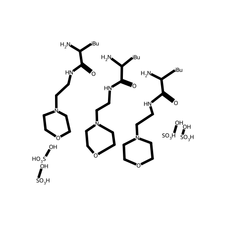 CCC(C)C(N)C(=O)NCCN1CCOCC1.CCC(C)C(N)C(=O)NCCN1CCOCC1.CCC(C)C(N)C(=O)NCCN1CCOCC1.O=S(=O)(O)O.O=S(=O)(O)O.O=S(=O)(O)O.O=S(=O)(O)O